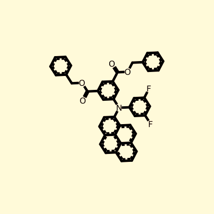 O=C(OCc1ccccc1)c1cc(C(=O)OCc2ccccc2)cc(N(c2cc(F)cc(F)c2)c2ccc3ccc4cccc5ccc2c3c45)c1